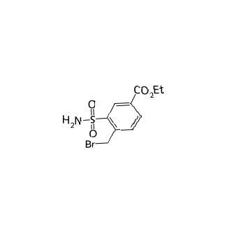 CCOC(=O)c1ccc(CBr)c(S(N)(=O)=O)c1